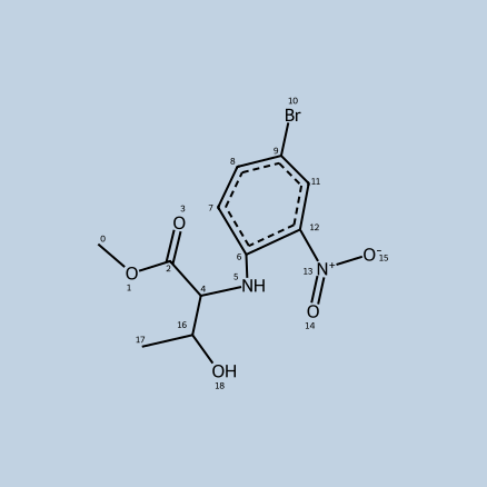 COC(=O)C(Nc1ccc(Br)cc1[N+](=O)[O-])C(C)O